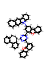 c1ccc2c(c1)CC[C@H](c1nc(-c3cccc4c3oc3ccccc34)nc(-c3cc(-n4c5ccccc5c5cc6ccccc6cc54)cc4c3oc3ccccc34)n1)c1ccccc1-2